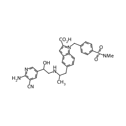 CNS(=O)(=O)c1ccc(Cn2c(C(=O)O)cc3cc(CC(C)NCC(O)c4cnc(N)c(C#N)c4)ccc32)cc1